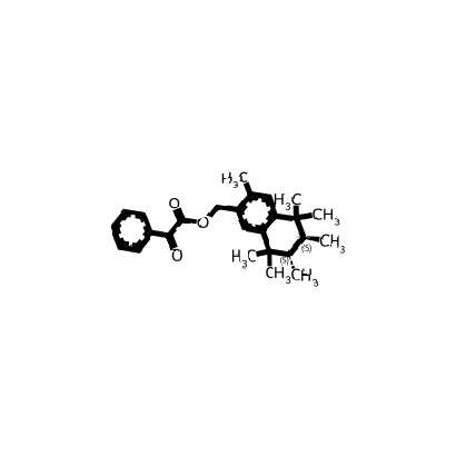 Cc1cc2c(cc1COC(=O)C(=O)c1ccccc1)C(C)(C)[C@@H](C)[C@H](C)C2(C)C